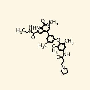 CCNC(=O)c1cc2c(-c3cc(C)cc(Oc4c(C)cc(NC(=O)CCN5CCCC5)cc4C)c3)cn(C)c(=O)c2[nH]1